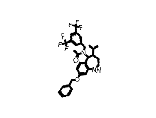 CC(=O)N(Cc1cc(C(F)(F)F)cc(C(F)(F)F)c1)C1c2ccc(OCc3ccccc3)cc2NCCC1C(C)C